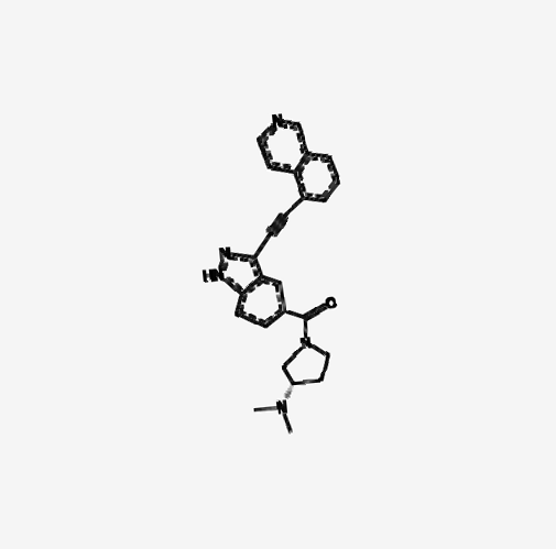 CN(C)[C@H]1CCN(C(=O)c2ccc3[nH]nc(C#Cc4cccc5cnccc45)c3c2)C1